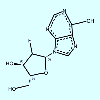 OC[C@H]1O[C@@H](n2cnc3c(O)ncnc32)C(F)[C@@H]1O